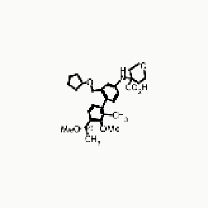 COc1c([C@H](C)OC)ccc(-c2ccc(NC3(C(=O)O)CCOCC3)cc2COC2CCCC2)c1C